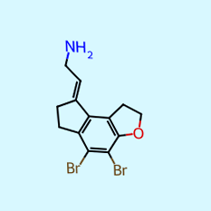 NC/C=C1\CCc2c(Br)c(Br)c3c(c21)CCO3